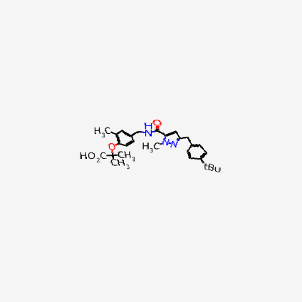 Cc1cc(CNC(=O)c2cc(Cc3ccc(C(C)(C)C)cc3)nn2C)ccc1OC(C)(C)C(=O)O